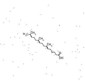 CC(C)=CCC/C(C)=C/CC/C(C)=C/CSCCC(=O)O